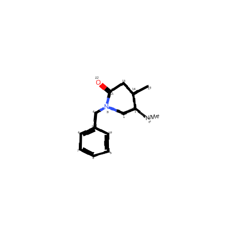 CNC1CN(Cc2ccccc2)C(=O)CC1C